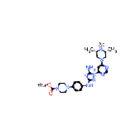 CC(=O)N1[C@H](C)CN(c2cc(-n3nc(Nc4ccc(N5CCN(C(=O)OC(C)(C)C)CC5)cc4)nc3N)ncn2)C[C@@H]1C